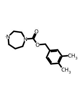 Cc1ccc(COC(=O)N2CCC[N]CC2)cc1C